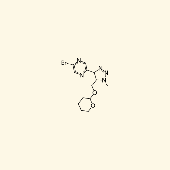 CN1N=NC(c2cnc(Br)cn2)C1COC1CCCCO1